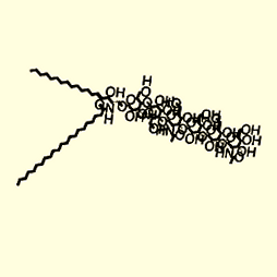 CCCCCCCCCCCCC/C=C/[C@@H](O)[C@H](CO[C@@H]1OC(CO)[C@@H](O[C@@H]2OC(CO)[C@H](O[C@@H]3OC(CO)[C@H](O)[C@H](O[C@@H]4OC(CO)[C@H](O)[C@H](O[C@H]5OC(CO)[C@H](O)[C@H](O[C@@H]6OC(CO)[C@H](O)[C@H](O)C6NC(C)=O)C5O)C4O)C3NC(C)=O)[C@H](O)C2O)[C@H](O)C1O)NC(=O)CCCCCCCCCCCCCCCCCCCCC